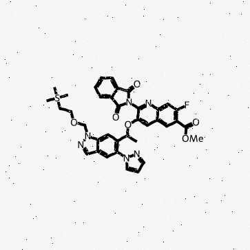 COC(=O)c1cc2cc(OC(C)c3cc4c(cnn4COCCS(C)(C)C)cc3-n3cccn3)c(N3C(=O)c4ccccc4C3=O)nc2cc1F